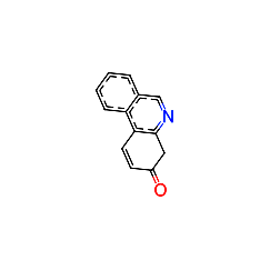 O=C1C=Cc2c(ncc3ccccc23)C1